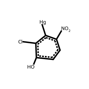 O=[N+]([O-])c1ccc(O)c(Cl)[c]1[Hg]